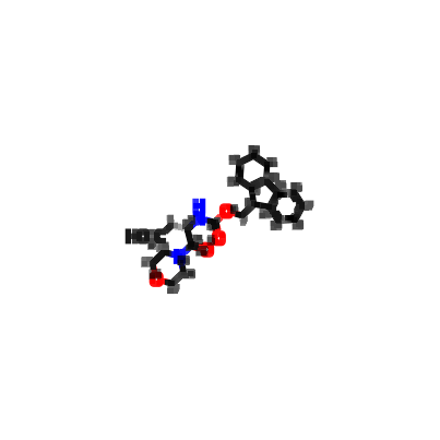 O=C(O)C[C@H](NC(=O)OCC1C2=C(CCC=C2)c2ccccc21)C(=O)N1CCOCC1